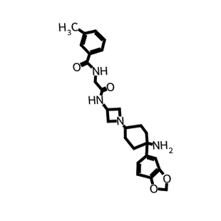 Cc1cccc(C(=O)NCC(=O)NC2CN(C3CCC(N)(c4ccc5c(c4)OCO5)CC3)C2)c1